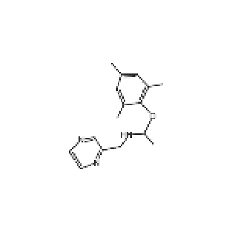 Cc1cc(C)c(OC(C)NCc2cnccn2)c(C)c1